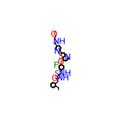 CCc1ccccc1CC(=O)NC(=S)Nc1ccc(Oc2ccnc3cc(-c4ccc(CNCCOC)cn4)sc23)c(F)c1